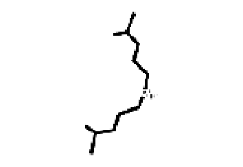 CC(C)CC[CH2][Al+][CH2]CCC(C)C.[H-]